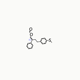 CSc1ccc(CC/C(=C\OC=O)c2ccccc2)cc1